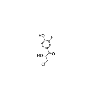 O=C(c1ccc(O)c(F)c1)C(O)CCl